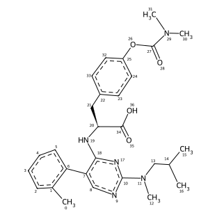 Cc1ccccc1-c1cnc(N(C)CC(C)C)nc1N[C@@H](Cc1ccc(OC(=O)N(C)C)cc1)C(=O)O